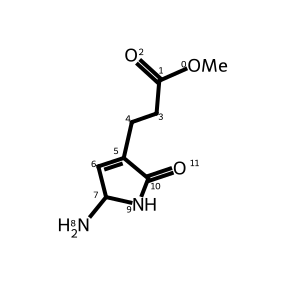 COC(=O)CCC1=CC(N)NC1=O